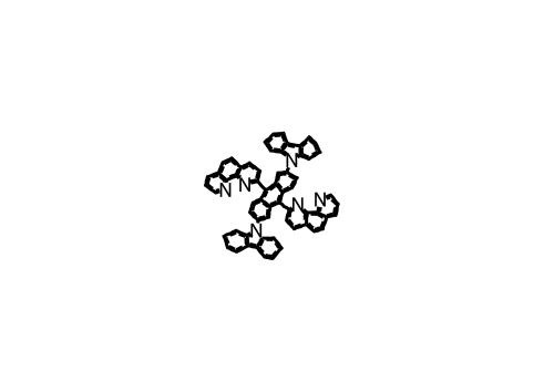 c1cnc2c(c1)ccc1ccc(-c3c4ccc(-n5c6ccccc6c6ccccc65)cc4c(-c4ccc5ccc6cccnc6c5n4)c4ccc(-n5c6ccccc6c6ccccc65)cc34)nc12